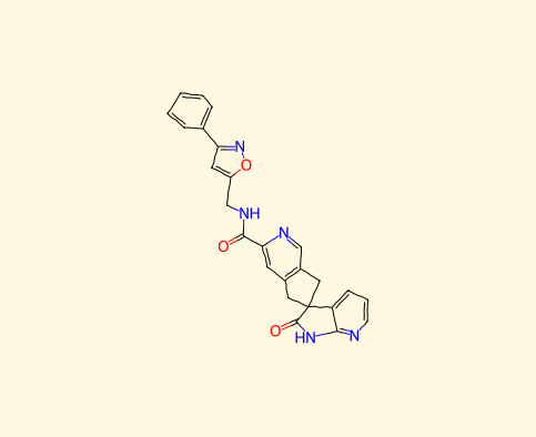 O=C(NCc1cc(-c2ccccc2)no1)c1cc2c(cn1)CC1(C2)C(=O)Nc2ncccc21